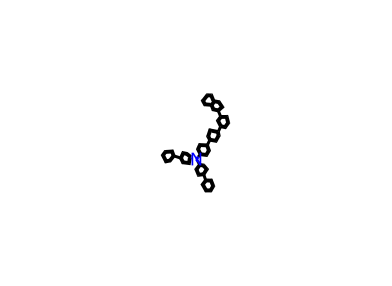 c1ccc(-c2ccc(N(c3ccc(-c4ccccc4)cc3)c3ccc(-c4ccc(-c5cccc(-c6ccc7ccccc7c6)c5)cc4)cc3)cc2)cc1